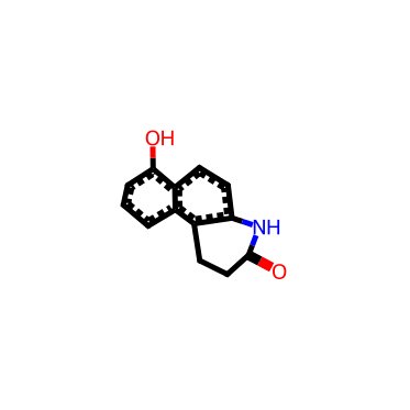 O=C1CCc2c(ccc3c(O)cccc23)N1